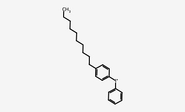 CCCCCCCCCCc1ccc([I+]c2ccccc2)cc1